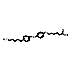 CCCCCCc1ccc(N=Nc2ccc(OCCCCCC(=O)O)cc2)cc1